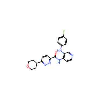 O=C(Nc1ccncc1Nc1ccc(F)cc1)c1ccc(C2CCOCC2)nn1